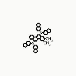 Cc1cc2c(N(c3ccc4c(c3)CCC4)c3ccc4c(c3)CCC4)cc3c4ccccc4c(N(c4ccc5c(c4)CCC5)c4ccc5c(c4)CCC5)cc3c2cc1C